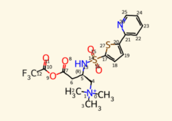 C[N+](C)(C)C[C@@H](CC(=O)OC(=O)C(F)(F)F)NS(=O)(=O)c1ccc(-c2ccccn2)s1